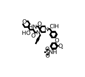 CC#CCN1C(=O)[C@@H]([C@H](O)C2CCOCC2)NC(=O)C12CCN(Cc1ccc(Oc3ccc(NS(C)(=O)=O)cc3OC)cc1)CC2.Cl